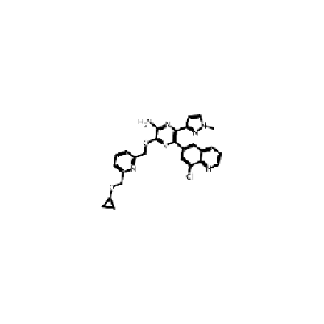 Cn1ccc(-c2nc(N)c(OCc3cccc(COC4CC4)n3)nc2-c2cc(Cl)c3ncccc3c2)n1